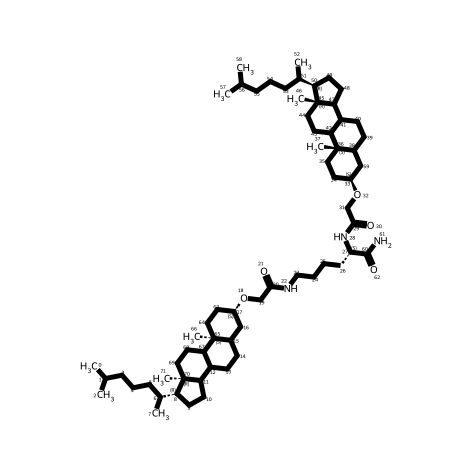 CC(C)CCCC(C)[C@H]1CCC2C3CCC4C[C@@H](OCC(=O)NCCCC[C@H](NC(=O)CO[C@H]5CC[C@@]6(C)C(CCC7C6CC[C@@]6(C)C7CC[C@@H]6C(C)CCCC(C)C)C5)C(N)=O)CC[C@]4(C)C3CC[C@@]21C